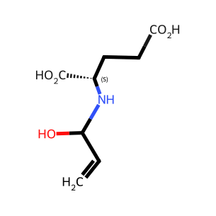 C=CC(O)N[C@@H](CCC(=O)O)C(=O)O